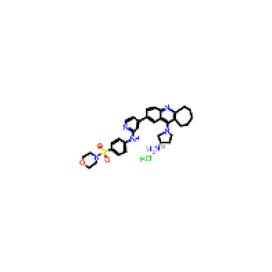 Cl.N[C@H]1CCN(c2c3c(nc4ccc(-c5ccnc(Nc6ccc(S(=O)(=O)N7CCOCC7)cc6)c5)cc24)CCCCC3)C1